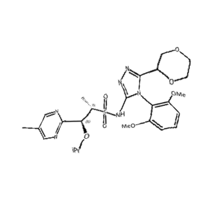 COc1cccc(OC)c1-n1c(NS(=O)(=O)[C@@H](C)[C@@H](OC(C)C)c2ncc(C)cn2)nnc1C1COCCO1